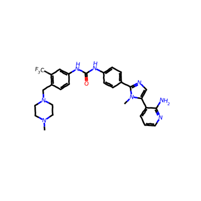 CN1CCN(Cc2ccc(NC(=O)Nc3ccc(-c4ncc(-c5cccnc5N)n4C)cc3)cc2C(F)(F)F)CC1